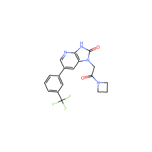 O=C(Cn1c(=O)[nH]c2ncc(-c3cccc(C(F)(F)F)c3)cc21)N1CCC1